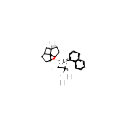 CC1(C)C(=O)N([C@H]2C3CC4C[C@@]5(C)CC2CC45C3)N1c1cccc2ccccc12